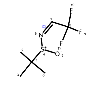 CC(C)(C)[S+]([O-])/N=C\C(F)(F)F